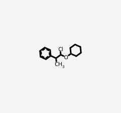 CC(c1ccccc1)C(Cl)OC1CCCCC1